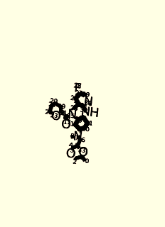 CC1COCC(CN(C)c2ccc3c(c2)N(C(=O)[C@H]2CCCCO2)Cc2cc(F)cnc2N3)O1